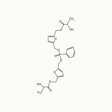 CC(O)C(=O)OCc1ccc(COP(=O)(OCc2ccc(COC(=O)C(C)O)o2)c2ccccc2)o1